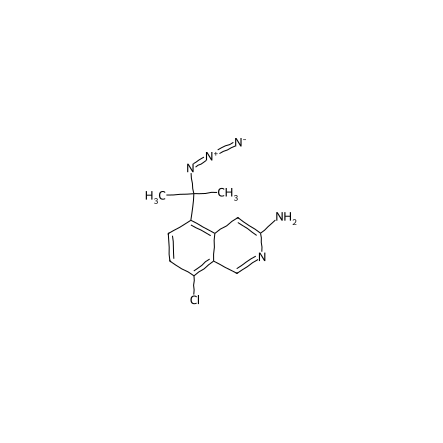 CC(C)(N=[N+]=[N-])c1ccc(Cl)c2cnc(N)cc12